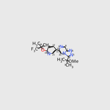 COC(C)(C)c1nnc2cnc(-c3ccc(OC(C)(C)C(F)(F)F)nc3)cn12